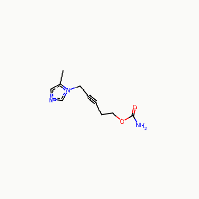 Cc1cncn1CC#CCCOC(N)=O